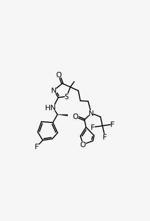 C[C@H](NC1=NC(=O)C(C)(CCCN(CC(F)(F)F)C(=O)c2ccoc2)S1)c1ccc(F)cc1